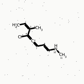 C/C=C(/C)C(Cl)=C=C/C=C/NC